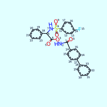 O=C(NOC(=O)C(NS(=O)(=O)c1ccc(F)cc1)c1ccccc1)c1ccc(-c2ccccc2)cc1